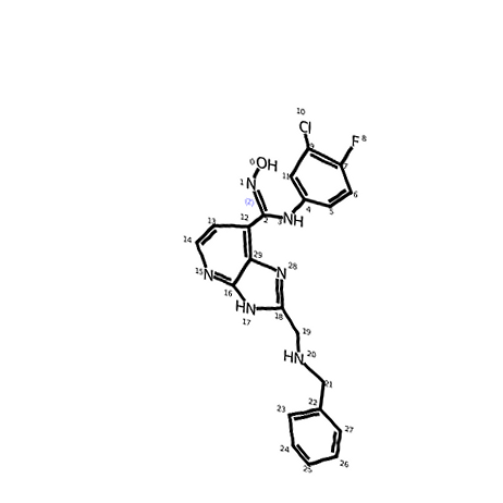 O/N=C(\Nc1ccc(F)c(Cl)c1)c1ccnc2[nH]c(CNCc3ccccc3)nc12